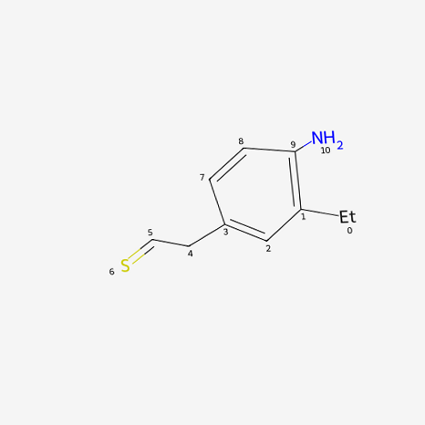 CCc1cc(CC=S)ccc1N